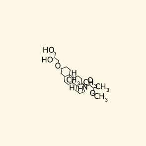 COC(C)C(=O)N1CCC[C@H]2[C@H]3CCC4C[C@@H](OC[C@H](O)CO)CC[C@]4(C)[C@H]3CC[C@@]21C